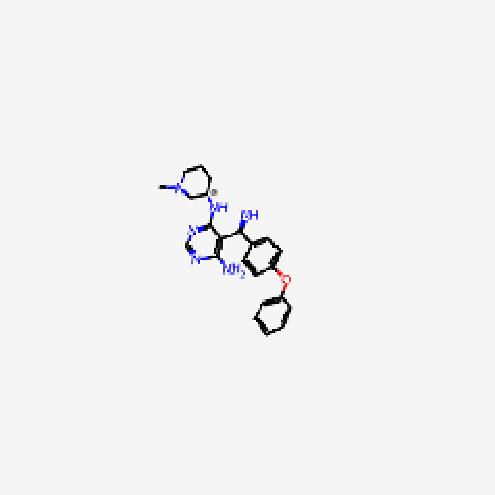 CN1CCC[C@@H](Nc2ncnc(N)c2C(=N)c2ccc(Oc3ccccc3)cc2)C1